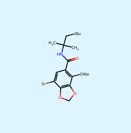 COc1c(C(=O)NC(C)(C)CC(C)(C)C)cc(Br)c2c1OCO2